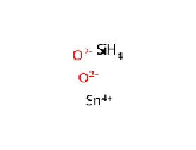 [O-2].[O-2].[SiH4].[Sn+4]